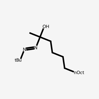 CCCCCCCCCCCCC(C)(O)N=NC(C)(C)C